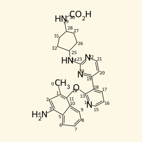 Cc1cc(N)c2ccccc2c1Oc1ncccc1-c1ccnc(NC2CCC(NC(=O)O)CC2)n1